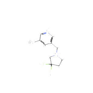 CC(C)c1cncc(CN2CCC(F)(F)C2)c1